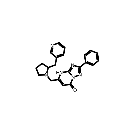 O=c1cc(CN2CCCC2Cc2cccnc2)[nH]c2nc(-c3ccccc3)nn12